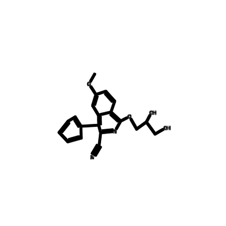 COc1ccc2c(OCC(O)CO)nc(C#N)c(-c3ccccc3)c2c1